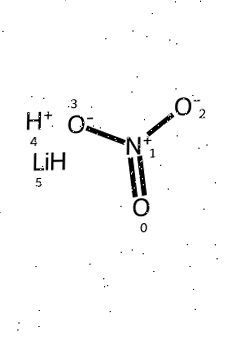 O=[N+]([O-])[O-].[H+].[LiH]